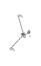 CCCCCCCCCCCCCCOP(=O)(NCC[n+]1ccsc1)OCCCCCCCCCCCCCC.[I-]